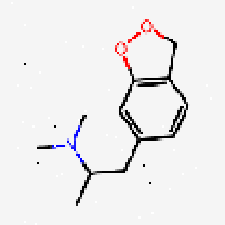 CC(Cc1ccc2c(c1)OOC2)N(C)C